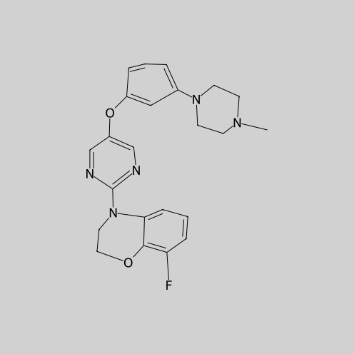 CN1CCN(c2cccc(Oc3cnc(N4CCOc5c(F)cccc54)nc3)c2)CC1